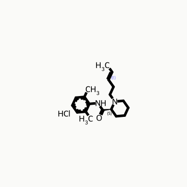 C/C=C/CCN1CCCC[C@H]1C(=O)Nc1c(C)cccc1C.Cl